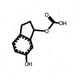 O=C(O)OC1CCc2ccc(O)cc21